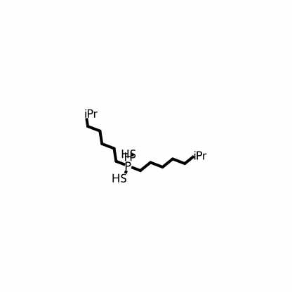 CC(C)CCCCC[PH](S)(S)CCCCCC(C)C